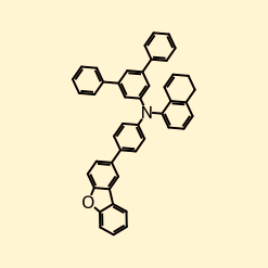 C1=Cc2c(cccc2N(c2ccc(-c3ccc4oc5ccccc5c4c3)cc2)c2cc(-c3ccccc3)cc(-c3ccccc3)c2)CC1